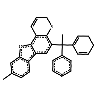 Cc1ccc2c(c1)oc1c3c(c(C(C)(C4=CCCC=C4)c4ccccc4)cc12)SCC=C3